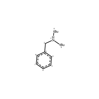 CC(C)(C)[SiH]([CH]c1ccccc1)C(C)(C)C